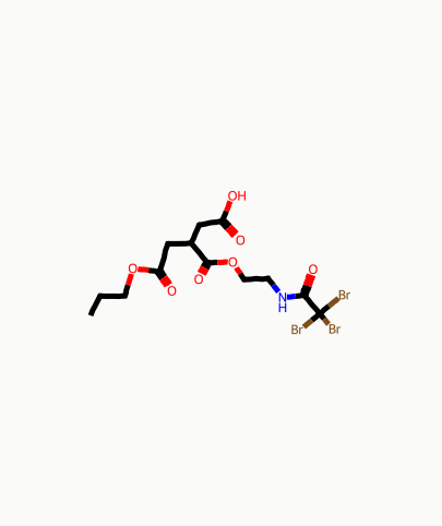 CCCOC(=O)CC(CC(=O)O)C(=O)OCCNC(=O)C(Br)(Br)Br